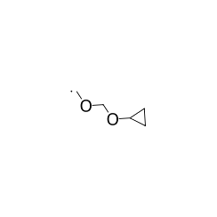 [CH2]OCOC1CC1